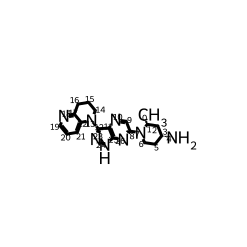 C[C@H]1C[C@H](N)CCN1c1cnc2c(N3CCCc4ncccc43)n[nH]c2n1